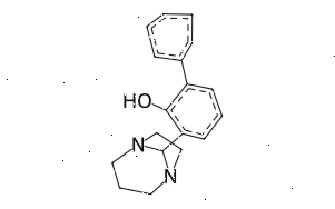 Oc1c(-c2ccccc2)cccc1C1N2CCCN1CC2